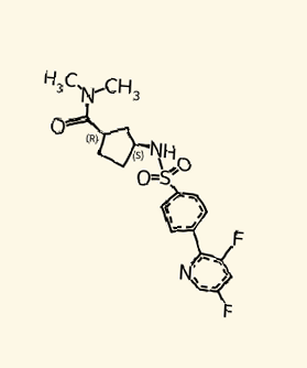 CN(C)C(=O)[C@@H]1CC[C@H](NS(=O)(=O)c2ccc(-c3ncc(F)cc3F)cc2)C1